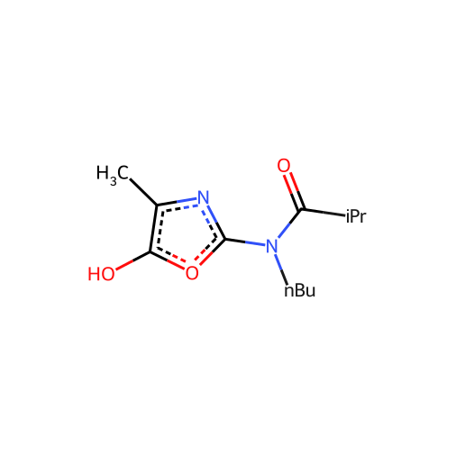 CCCCN(C(=O)C(C)C)c1nc(C)c(O)o1